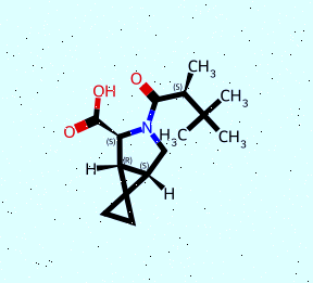 C[C@H](C(=O)N1C[C@H]2[C@@H]([C@H]1C(=O)O)C21CC1)C(C)(C)C